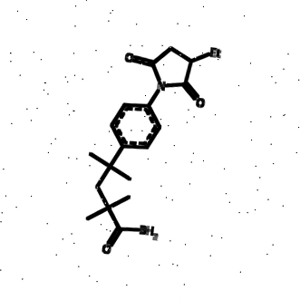 BC(=O)C(C)(C)CC(C)(C)c1ccc(N2C(=O)CC(CC)C2=O)cc1